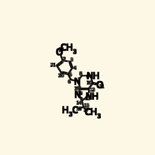 COc1ccc(CN2CNC(=O)c3[nH]c(C(C)C)nc32)cc1